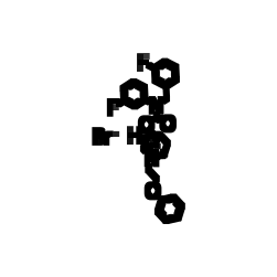 O=C(O[C@H]1C[N+]2(CCOc3ccccc3)CCC1CC2)N(Cc1cccc(F)c1)c1cccc(F)c1.[Br-]